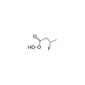 CC(F)CC(=O)OO